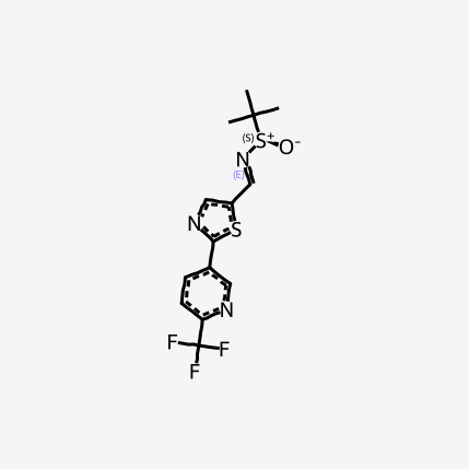 CC(C)(C)[S@@+]([O-])/N=C/c1cnc(-c2ccc(C(F)(F)F)nc2)s1